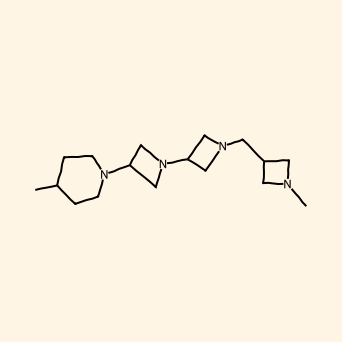 CC1CCN(C2CN(C3CN(CC4CN(C)C4)C3)C2)CC1